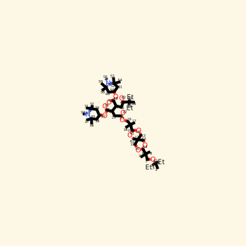 CCC(C)(CC)OCC(C)(C)C1OCC2(COC(C(C)(C)COC(=O)CC(C(=O)OC3CC(C)(C)N(C)C(C)(C)C3)C(CC(=O)C(C)(CC)CC)C(=O)OC3CC(C)(C)N(C)C(C)(C)C3)OC2)CO1